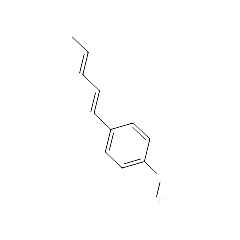 CC=CC=Cc1ccc(OCCCC)cc1